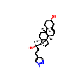 C[C@]12CC[C@H]3[C@@H](CC=C4C[C@@H](O)CC[C@@]43C)[C@@H]1CC[C@@H]2[C@](C)(O)CCc1cn[nH]c1